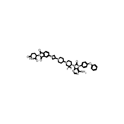 Nc1ncnc2c1n(-c1ccc(Oc3ccccc3)cc1)c(=O)n2[C@@H]1CCN(C2CCN(C3CN(c4ccc5c(c4)C(=O)N(C4CCC(=O)NC4=O)C5=O)C3)CC2)CC1(F)F